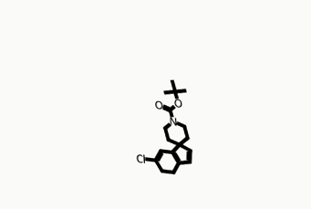 CC(C)(C)OC(=O)N1CCC2(C=CC3=C2C=C(Cl)CC3)CC1